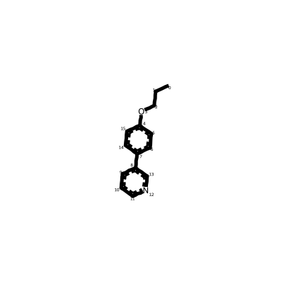 CCCOc1ccc(-c2c[c]cnc2)cc1